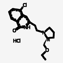 CCOC[C@H]1CCCN1CCc1cc2c(Cl)cccc2c(=O)[nH]1.Cl